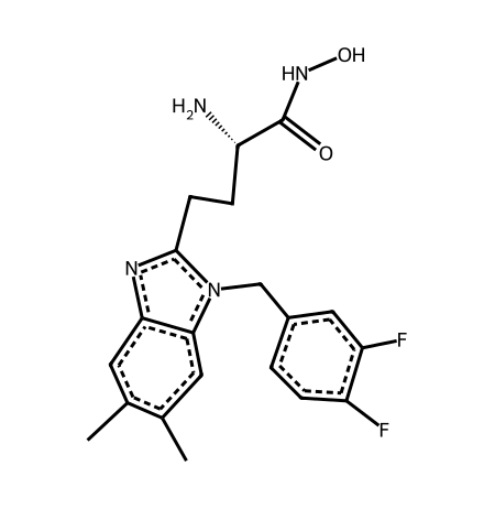 Cc1cc2nc(CC[C@H](N)C(=O)NO)n(Cc3ccc(F)c(F)c3)c2cc1C